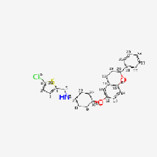 Clc1ccc(CN[C@H]2CC[C@H](Oc3ccc4c(c3)CCC(c3ccccc3)O4)CC2)s1